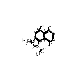 Cc1ccc(C)c2c3c(cc(C)c12)N(P)C[C@H]3CCl